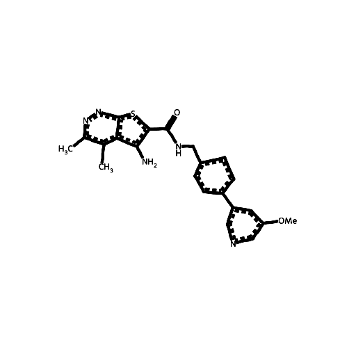 COc1cncc(-c2ccc(CNC(=O)c3sc4nnc(C)c(C)c4c3N)cc2)c1